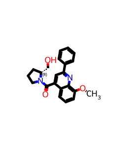 COc1cccc2c(C(=O)N3CCC[C@@H]3CO)cc(-c3ccccc3)nc12